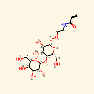 C=CC(=O)NCCOO[C@@H]1O[C@H](CO)[C@@H](O[C@@H]2O[C@H](CO)[C@H](O)[C@H](O)[C@H]2O)[C@H](O)[C@H]1O